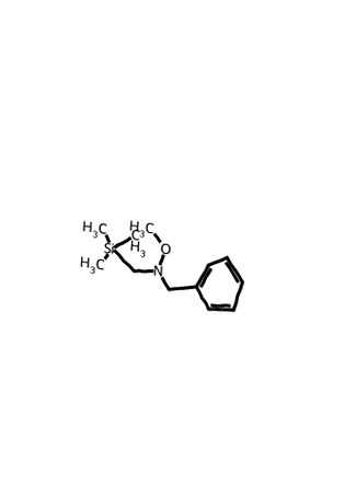 CON(Cc1ccccc1)C[Si](C)(C)C